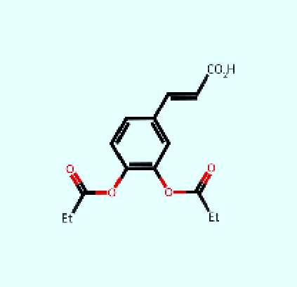 CCC(=O)Oc1ccc(C=CC(=O)O)cc1OC(=O)CC